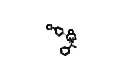 C[C@@H](c1ccccc1)N1CCO[C@@H](c2ccc(Cl)cc2)C1